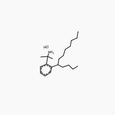 CCCCCCCC(CCCC)c1ccccc1C(C)(C)N.Cl